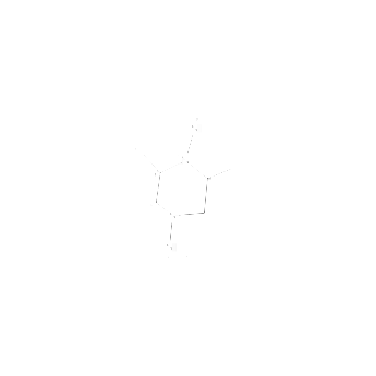 CC1CN(N)CC(C)N1N